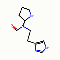 O=CN(CCc1c[nH]cn1)[C@H]1CCCN1